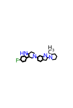 CC1CCCCN1C1=Nc2cc(N3CCc4[nH]c5cc(F)ccc5c4C3)ccc2C1